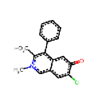 Cn1cc2cc(Cl)c(=O)cc-2c(-c2ccccc2)c1C(=O)O